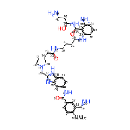 CNc1ccc(C(=O)Nc2ccc3[nH]c(CN4CCC(CC(=O)NCCCCNc5cccc(N)c5C(=O)NC(O)CCN)C4)nc3c2)cc1C=N